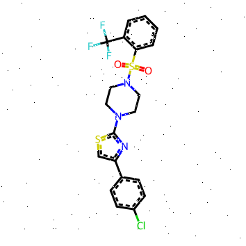 O=S(=O)(c1ccccc1C(F)(F)F)N1CCN(c2nc(-c3ccc(Cl)cc3)cs2)CC1